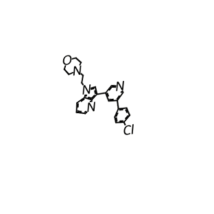 Clc1ccc(-c2cncc(-c3cn(CCN4CCOCC4)c4cccnc34)c2)cc1